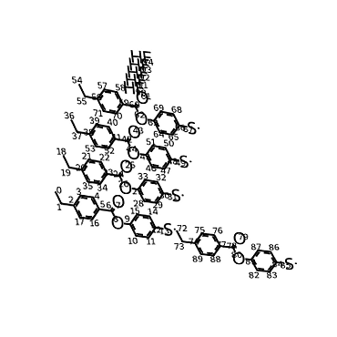 CCc1ccc(C(=O)Oc2ccc([S])cc2)cc1.CCc1ccc(C(=O)Oc2ccc([S])cc2)cc1.CCc1ccc(C(=O)Oc2ccc([S])cc2)cc1.CCc1ccc(C(=O)Oc2ccc([S])cc2)cc1.CCc1ccc(C(=O)Oc2ccc([S])cc2)cc1.F.F.F.F.F